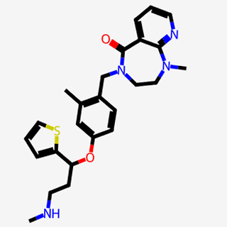 CNCCC(Oc1ccc(CN2CCN(C)c3ncccc3C2=O)c(C)c1)c1cccs1